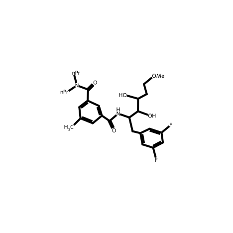 CCCN(CCC)C(=O)c1cc(C)cc(C(=O)NC(Cc2cc(F)cc(F)c2)C(O)C(O)CCOC)c1